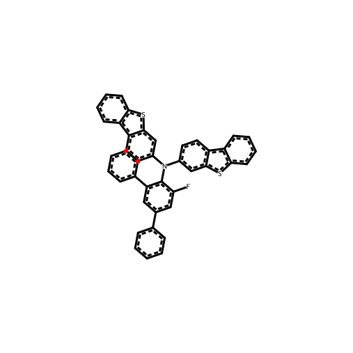 Fc1cc(-c2ccccc2)cc(-c2ccccc2)c1N(c1ccc2c(c1)sc1ccccc12)c1ccc2c(c1)sc1ccccc12